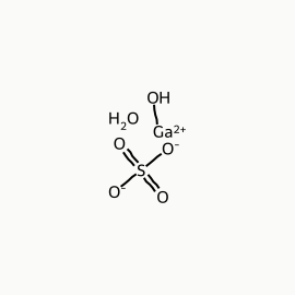 O.O=S(=O)([O-])[O-].[OH][Ga+2]